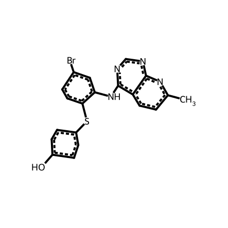 Cc1ccc2c(Nc3cc(Br)ccc3Sc3ccc(O)cc3)ncnc2n1